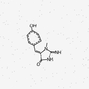 CN1C(=N)NC(=O)/C1=C/c1ccc(O)cc1